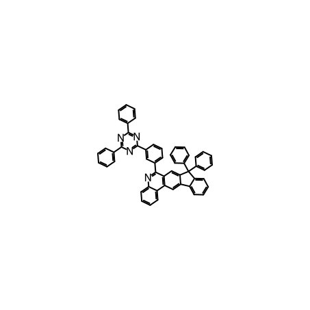 c1ccc(-c2nc(-c3ccccc3)nc(-c3cccc(-c4nc5ccccc5c5cc6c(cc45)C(c4ccccc4)(c4ccccc4)c4ccccc4-6)c3)n2)cc1